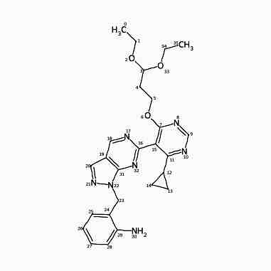 CCOC(CCOc1ncnc(C2CC2)c1-c1ncc2cnn(Cc3ccccc3N)c2n1)OCC